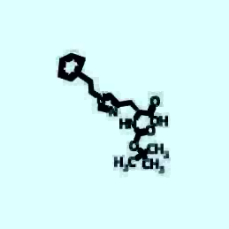 CC(C)(C)OC(=O)N[C@@H](Cc1cn(CCc2ccccc2)cn1)C(=O)O